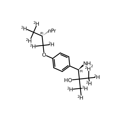 [2H]C([2H])([2H])[C@H](CCC)C([2H])([2H])Oc1ccc([C@@H](N)C(O)(C([2H])([2H])[2H])C([2H])([2H])[2H])cc1